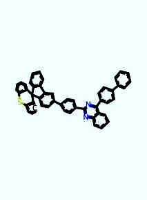 c1ccc(-c2ccc(-c3nc(-c4ccc(-c5ccc6c(c5)-c5ccccc5C65c6ccccc6Sc6ccccc65)cc4)nc4ccccc34)cc2)cc1